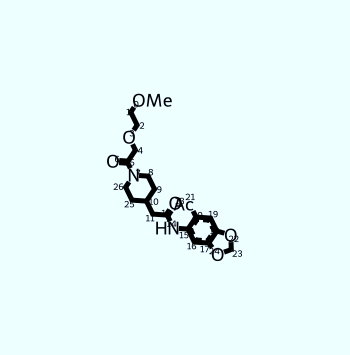 COCCOCC(=O)N1CCC(CC(=O)Nc2cc3c(cc2C(C)=O)OCO3)CC1